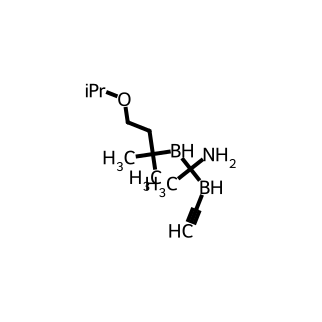 C#CBC(C)(N)BC(C)(C)CCOC(C)C